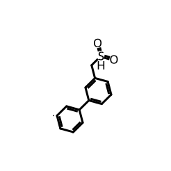 O=[SH](=O)Cc1cccc(-c2c[c]ccc2)c1